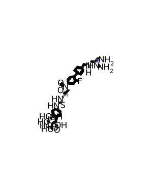 N/C=C(/CNCc1ccc(-c2ccc(N3C[C@H](CNC(=S)Nc4ccc(CC(O)(P(=O)(O)O)[PH](O)(O)O)cc4)OC3=O)cc2F)cc1)NN